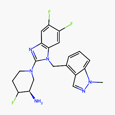 Cn1ncc2c(Cn3c(N4CCC(F)[C@H](N)C4)nc4cc(F)c(F)cc43)cccc21